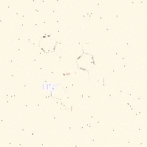 Cc1ccc(S(=O)(=O)O)cc1.O=C(OCc1ccccc1)[C@@H]1C[C@@H](O)CN1